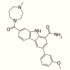 COc1cccc(-c2cc(C(N)=O)c3[nH]c4cc(C(=O)N5CCCN(C)CC5)ccc4c3c2)c1